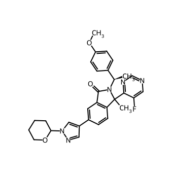 COc1ccc([C@@H](C)N2C(=O)c3cc(-c4cnn(C5CCCCO5)c4)ccc3C2(C)c2ncncc2F)cc1